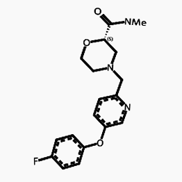 CNC(=O)[C@@H]1CN(Cc2ccc(Oc3ccc(F)cc3)cn2)CCO1